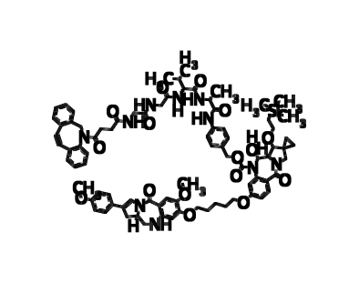 COc1ccc(C2=CN3C(=O)c4cc(OC)c(OCCCCCOc5ccc6c(c5)N(C(=O)OCc5ccc(NC(=O)[C@H](C)NC(=O)[C@@H](NC(=O)CNC(=O)CNC(=O)CCC(=O)N7Cc8ccccc8C#Cc8ccccc87)C(C)C)cc5)C(O)[C@@H]5C(OCC[Si](C)(C)C)C7(CC7)CN5C6=O)cc4NC[C@@H]3C2)cc1